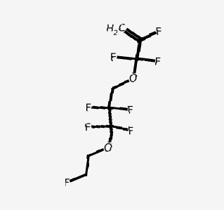 C=C(F)C(F)(F)OCC(F)(F)C(F)(F)OCCF